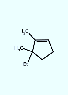 CCC1(C)CCC=C1C